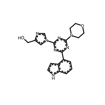 OCc1cn(-c2nc(-c3cccc4[nH]ccc34)nc(N3CCOCC3)n2)cn1